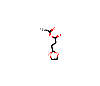 CC(C)(C)C(=O)OC(=O)CCC1OCCO1